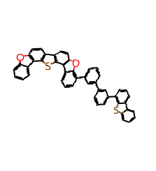 c1cc(-c2cccc(-c3cccc4c3sc3ccccc34)c2)cc(-c2cccc3c2oc2ccc4c5ccc6oc7ccccc7c6c5sc4c23)c1